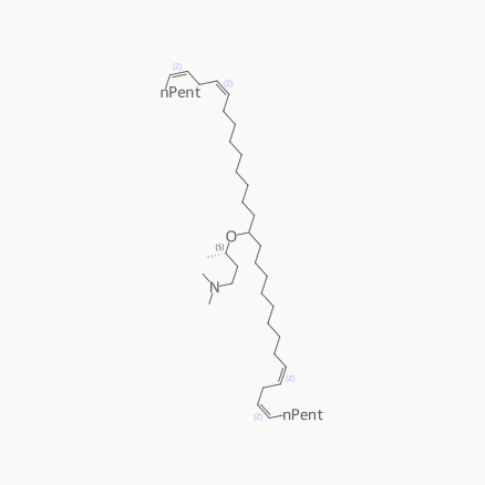 CCCCC/C=C\C/C=C\CCCCCCCCC(CCCCCCCC/C=C\C/C=C\CCCCC)O[C@@H](C)CCN(C)C